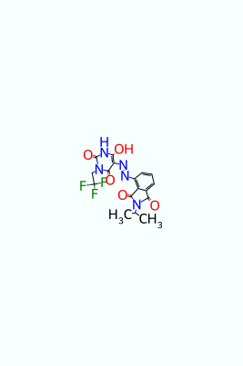 CC(C)N1C(=O)c2cccc(N=Nc3c(O)[nH]c(=O)n(CC(F)(F)F)c3=O)c2C1=O